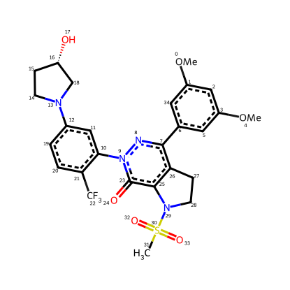 COc1cc(OC)cc(-c2nn(-c3cc(N4CC[C@H](O)C4)ccc3C(F)(F)F)c(=O)c3c2CCN3S(C)(=O)=O)c1